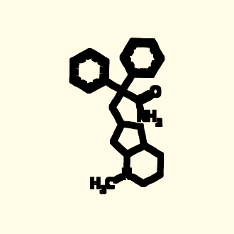 CN1CCCC2CC(CC(C(N)=O)(c3ccccc3)c3ccccc3)CC21